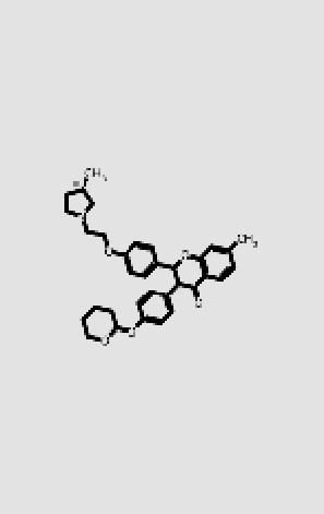 Cc1ccc2c(c1)OC(c1ccc(OCCN3CC[C@@H](C)C3)cc1)C(c1ccc(OC3CCCCO3)cc1)C2=O